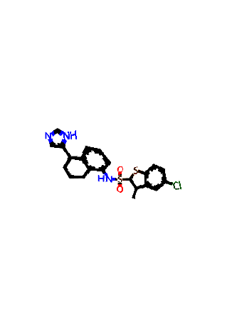 CC1c2cc(Cl)ccc2SC1S(=O)(=O)Nc1cccc2c1CCCC2c1cnc[nH]1